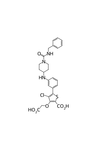 O=C(O)COc1c(C(=O)O)sc(-c2cccc(NC3CCN(C(=O)NCc4ccccc4)CC3)c2)c1Cl